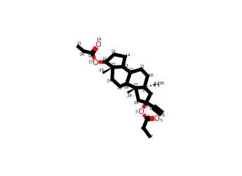 C#CC1(OC(=O)CC)C[C@@H]2CCC3C4CCC(OC(=O)CC)[C@@]4(C)CCC3[C@@]2(C)C1